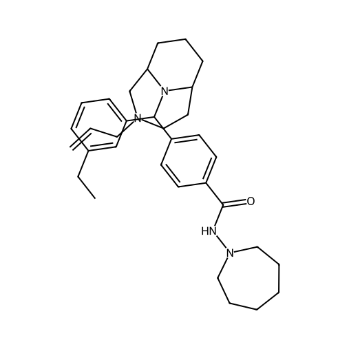 C=CCN1CCC2CCCC(C1)N2C(c1ccc(C(=O)NN2CCCCCC2)cc1)c1cccc(CC)c1